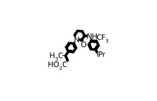 CC(C)c1ccc(NC2CCCN(c3ccc([C@@H](C)CC(=O)O)cc3)C2=O)c(C(F)(F)F)c1